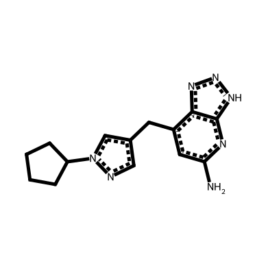 Nc1cc(Cc2cnn(C3CCCC3)c2)c2nn[nH]c2n1